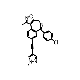 Cc1noc2c1-c1ccc(C#Cc3cnn(C)c3)cc1C(c1ccc(Cl)cc1)=NC2